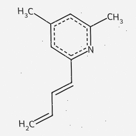 C=CC=Cc1cc(C)cc(C)n1